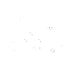 COCC(=O)N(CC[C@H](N)CF)[C@@H](c1nc(-c2ccccc2)cn1Cc1ccccc1)C(C)(C)C